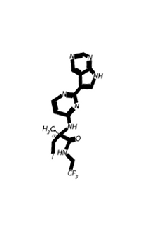 C[C@](CI)(Nc1ccnc(-c2c[nH]c3ncncc23)n1)C(=O)NCC(F)(F)F